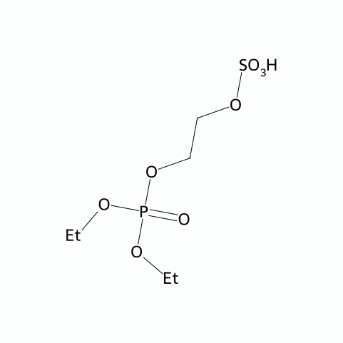 CCOP(=O)(OCC)OCCOS(=O)(=O)O